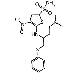 CN(C)CCC(CSc1ccccc1)Nc1sc(S(N)(=O)=O)cc1[N+](=O)[O-]